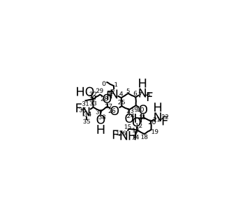 CCN(F)C1CC(NF)C(OC2OC(C)(CNF)CCC2NF)C(O)C1OC1OCC(C)(O)C(N(C)F)C1O